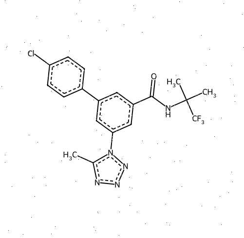 Cc1nnnn1-c1cc(C(=O)NC(C)(C)C(F)(F)F)cc(-c2ccc(Cl)cc2)c1